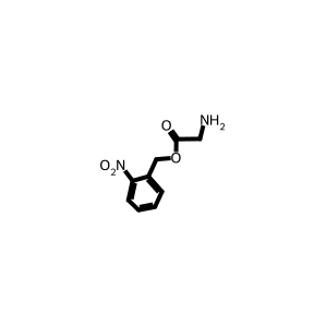 NCC(=O)OCc1ccccc1[N+](=O)[O-]